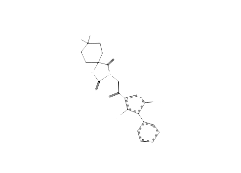 Cc1sc(C(=O)CN2C(=O)NC3(CCC(F)(F)CC3)C2=O)c(C)c1-c1ccccc1